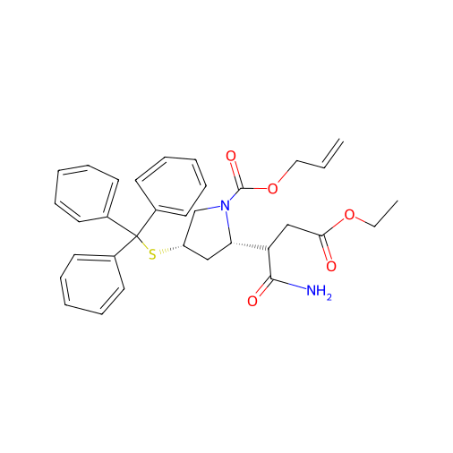 C=CCOC(=O)N1C[C@@H](SC(c2ccccc2)(c2ccccc2)c2ccccc2)C[C@H]1C(CC(=O)OCC)C(N)=O